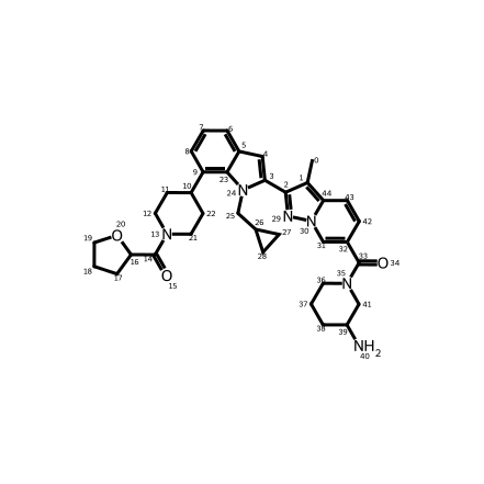 Cc1c(-c2cc3cccc(C4CCN(C(=O)C5CCCO5)CC4)c3n2CC2CC2)nn2cc(C(=O)N3CCCC(N)C3)ccc12